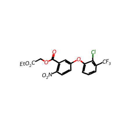 CCOC(=O)COC(=O)c1cc(Oc2cccc(C(F)(F)F)c2Cl)ccc1[N+](=O)[O-]